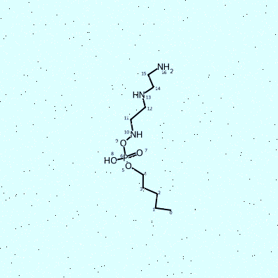 CCCCCOP(=O)(O)ONCCNCCN